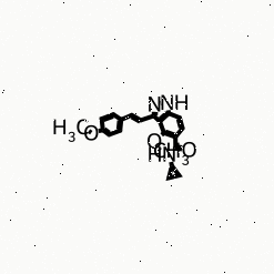 COc1ccc(C=Cc2n[nH]c3ccc(C(=O)NC4CC4)c(OC)c23)cc1